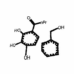 CCCC(=O)c1ccc(O)c(O)c1O.OCc1ccccc1